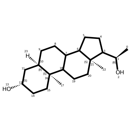 C[C@@H](O)C1CCC2C3CC[C@@H]4C[C@@H](O)CC[C@]4(C)C3CC[C@@]21C